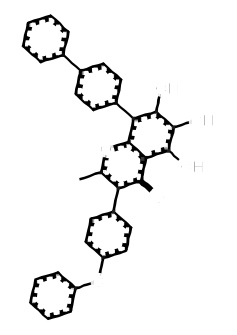 Cc1oc2c(-c3ccc(-c4ccccc4)cc3)c(O)c(O)c(O)c2c(=O)c1-c1ccc(Oc2ccccc2)cc1